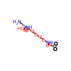 NCCCC[C@H](NC(=O)CCOCCOCCOCCOCCNC(=O)OCC1c2ccccc2-c2ccccc21)C(=O)O